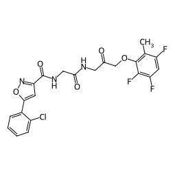 Cc1c(F)cc(F)c(F)c1OCC(=O)CNC(=O)CNC(=O)c1cc(-c2ccccc2Cl)on1